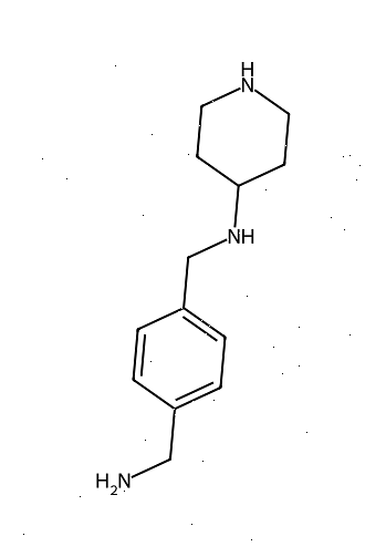 NCc1ccc(CNC2CCNCC2)cc1